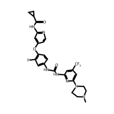 CN1CCN(c2cc(C(F)(F)F)cc(NC(=O)Nc3ccc(Oc4ccnc(NC(=O)C5CC5)c4)c(F)c3)n2)CC1